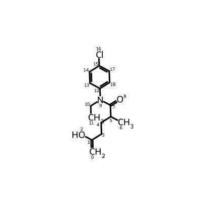 C=C(O)CCC(C)C(=O)N(CC)c1ccc(Cl)cc1